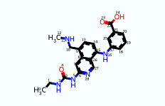 CCNC(=O)Nc1cc2c(CNC)ccc(Nc3cccc(C(=O)O)c3)c2cn1